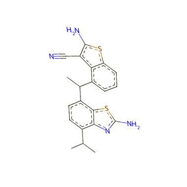 CC(C)c1ccc(C(C)c2cccc3sc(N)c(C#N)c23)c2sc(N)nc12